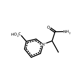 CC(C(N)=O)[n+]1cccc(C(=O)O)c1